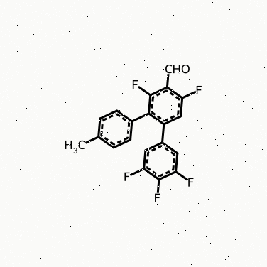 Cc1ccc(-c2c(-c3cc(F)c(F)c(F)c3)cc(F)c(C=O)c2F)cc1